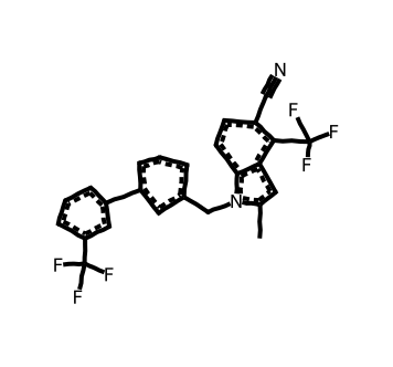 Cc1cc2c(C(F)(F)F)c(C#N)ccc2n1Cc1cccc(-c2cccc(C(F)(F)F)c2)c1